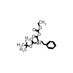 CCOC(=O)OC(=O)[C@H](CCc1ccccc1)NC(=O)OC(C)(C)C